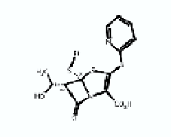 CCS[C@]12SC(Sc3ccccn3)=C(C(=O)O)N1C(=O)[C@@H]2C(C)O